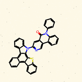 O=c1c2cc(-n3c4ccccc4c4c5ccccc5c5c6ccccc6sc5c43)ncc2c2ccccc2n1-c1ccccc1